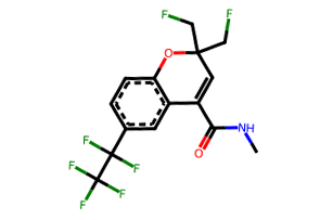 CNC(=O)C1=CC(CF)(CF)Oc2ccc(C(F)(F)C(F)(F)F)cc21